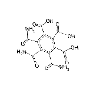 NC(=O)c1c(C(N)=O)c(C(=O)O)c(C(=O)O)c(C(=O)O)c1C(N)=O